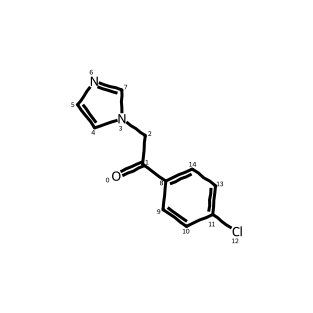 O=C(Cn1ccnc1)c1ccc(Cl)cc1